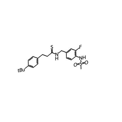 CC(C)(C)c1ccc(CCC(=S)NCc2ccc(NS(C)(=O)=O)c(F)c2)cc1